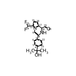 CC(C)(O)c1ccc(C2=Cn3c(C(F)F)ccc3C(C=O)N2)cc1